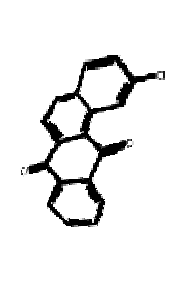 O=C1c2ccccc2C(=O)c2c1ccc1ccc(Cl)cc21